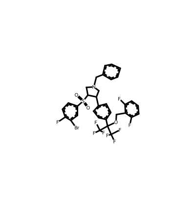 O=S(=O)(c1ccc(F)c(Br)c1)C1CN(Cc2ccccc2)CC1c1ccc(C(OCc2c(F)cccc2F)(C(F)(F)F)C(F)(F)F)cc1